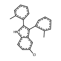 Cc1ccccc1-c1[nH]c2ccc(Cl)cc2c1-c1ccccc1C